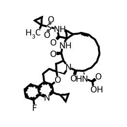 CC1(S(=O)(=O)NC(=O)C23CC2C=CCCCCC[C@H](NC(=O)O)C(=O)N2C[C@@]4(CCc5c(c(C6CC6)nc6c(F)cccc56)O4)CC2C(=O)N3)CC1